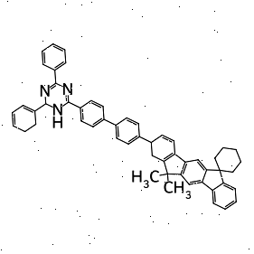 CC1(C)C2=C(C=CC(c3ccc(-c4ccc(C5=NC(c6ccccc6)=NC(C6=CC=CCC6)N5)cc4)cc3)C2)c2cc3c(cc21)-c1ccccc1C31CCCCC1